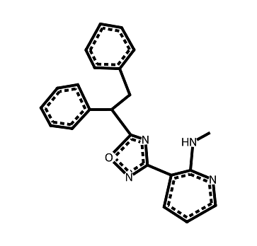 CNc1ncccc1-c1noc(C(Cc2ccccc2)c2ccccc2)n1